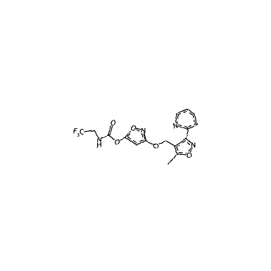 Cc1onc(-c2ccccn2)c1COc1cc(OC(=O)NCC(F)(F)F)on1